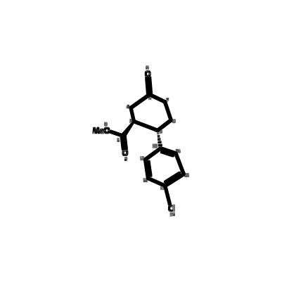 COC(=O)[C@H]1CC(=O)CC[C@@H]1c1ccc(Cl)cc1